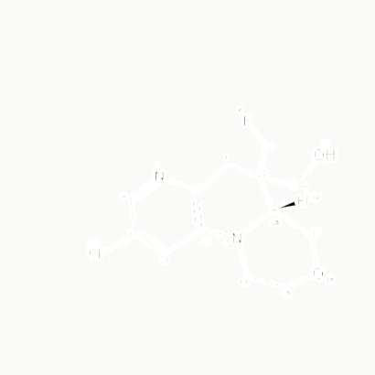 OC[C@@]1(CF)Cc2ncc(Cl)cc2N2CCOC[C@H]21